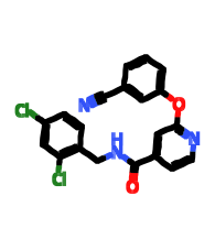 N#Cc1cccc(Oc2cc(C(=O)NCc3ccc(Cl)cc3Cl)ccn2)c1